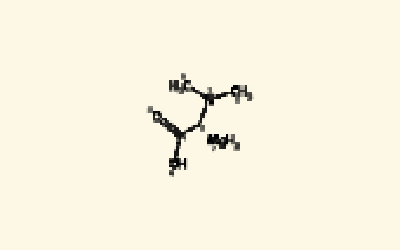 CN(C)CC(=O)O.[MgH2]